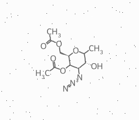 CC(=O)OC[C@H]1OC(C)[C@H](O)C(N=[N+]=[N-])C1OC(C)=O